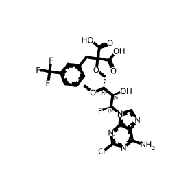 CO[C@H](COC(Cc1cccc(C(F)(F)F)c1)(C(=O)O)C(=O)O)[C@@H](O)[C@H](F)n1cnc2c(N)nc(Cl)nc21